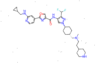 CN(CCC1CCNCC1)C[C@H]1CC[C@H](n2cc(NC(=O)c3coc(-c4ccnc(NCC5CC5)c4)n3)c(C(F)F)n2)CC1